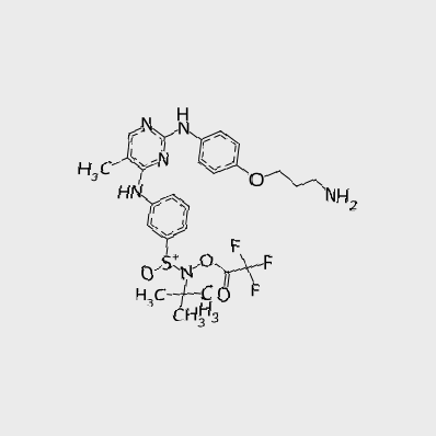 Cc1cnc(Nc2ccc(OCCCN)cc2)nc1Nc1cccc([S+]([O-])N(OC(=O)C(F)(F)F)C(C)(C)C)c1